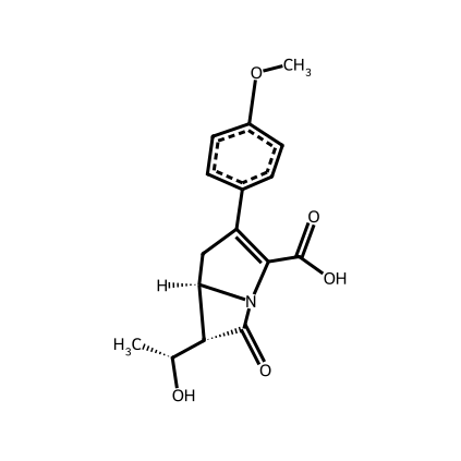 COc1ccc(C2=C(C(=O)O)N3C(=O)[C@H]([C@@H](C)O)[C@H]3C2)cc1